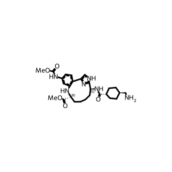 COC(=O)Nc1ccc2c(c1)N[C@@H](C(=O)OC)CCCC[C@H](NC(=O)[C@H]1CC[C@H](CN)CC1)c1nc-2c[nH]1